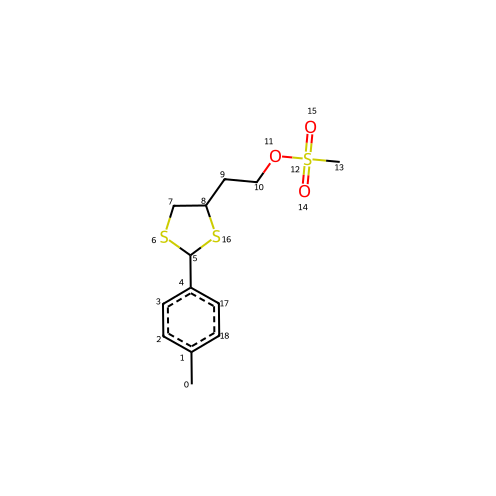 Cc1ccc(C2SCC(CCOS(C)(=O)=O)S2)cc1